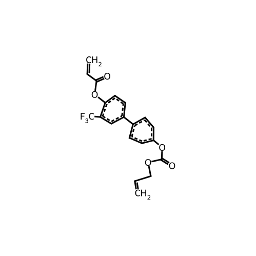 C=CCOC(=O)Oc1ccc(-c2ccc(OC(=O)C=C)c(C(F)(F)F)c2)cc1